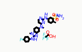 Cc1ccc(Nc2nccc(N(C)c3ccc4c(c3)nc(Nc3ccc(F)cc3)n4C)n2)cc1S(N)(=O)=O.O=C(O)C(F)(F)F